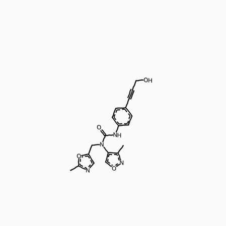 Cc1ncc(CN(C(=O)Nc2ccc(C#CCO)cc2)c2conc2C)o1